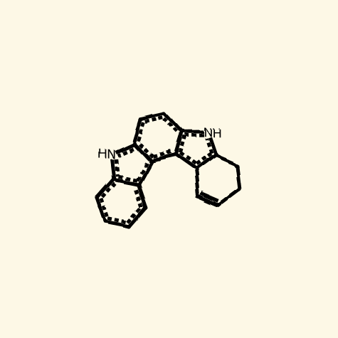 C1=Cc2c([nH]c3ccc4[nH]c5ccccc5c4c23)CC1